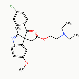 CCN(CC)CCOC(=O)CC1(C(=O)c2ccc(Cl)cc2)C(C)=Nc2ccc(OC)cc21